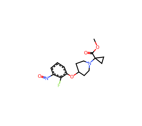 COC(=O)C1(N2CCC(Oc3cccc(N=O)c3F)CC2)CC1